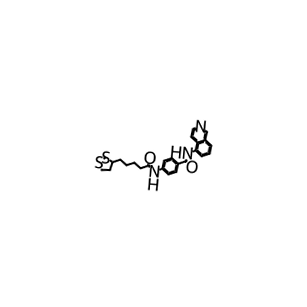 O=C(CCCCC1CCSS1)Nc1ccc(C(=O)Nc2cccc3cnccc23)cc1